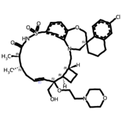 C[C@H]1C/C=C/[C@@](CO)(OCCN2CCOCC2)[C@@H]2CC[C@H]2CN2C[C@@]3(CCCc4cc(Cl)ccc43)COc3ccc(cc32)S(=O)(=O)NC(=O)[C@@H]1C